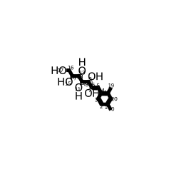 Cc1ccc(C=C(O)[C@H](O)[C@@H](O)[C@H](O)[C@H](O)CO)c(C)c1